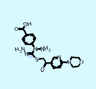 N/N=C(/SCC(=O)c1ccc(N2CCOCC2)nc1)N(N)c1ccc(C(=O)O)cc1